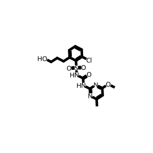 COc1cc(C)nc(NC(=O)NS(=O)(=O)c2c(Cl)cccc2CCCO)n1